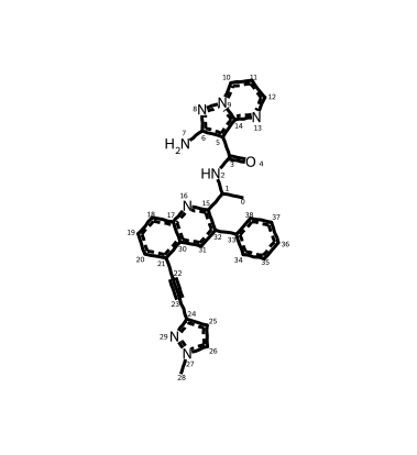 CC(NC(=O)c1c(N)nn2cccnc12)c1nc2cccc(C#Cc3ccn(C)n3)c2cc1-c1ccccc1